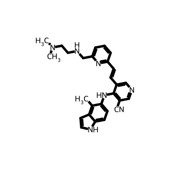 Cc1c(Nc2c(C#N)cncc2C=Cc2cccc(CNCCN(C)C)n2)ccc2[nH]ccc12